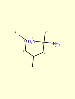 CC(CCI)CC(C)(N)N